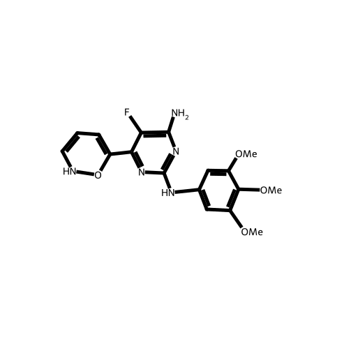 COc1cc(Nc2nc(N)c(F)c(C3=CC=CNO3)n2)cc(OC)c1OC